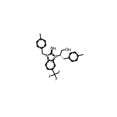 Cc1ccc(C[C@@H](CO)n2c(=N)n(Cc3ccc(C)cc3)c3ccc(C(F)(F)F)cc32)cc1